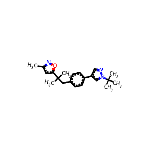 Cc1cc(C(C)(C)Cc2ccc(-c3cnn(C(C)(C)C)c3)cc2)on1